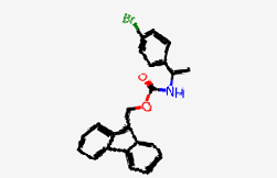 CC(NC(=O)OCC1c2ccccc2-c2ccccc21)c1ccc(Br)cc1